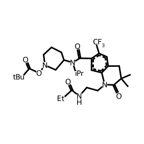 CCC(=O)NCCN1C(=O)C(C)(C)Cc2cc(C(F)(F)F)c(C(=O)N(C(C)C)C3CCCN(OC(=O)C(C)(C)C)C3)cc21